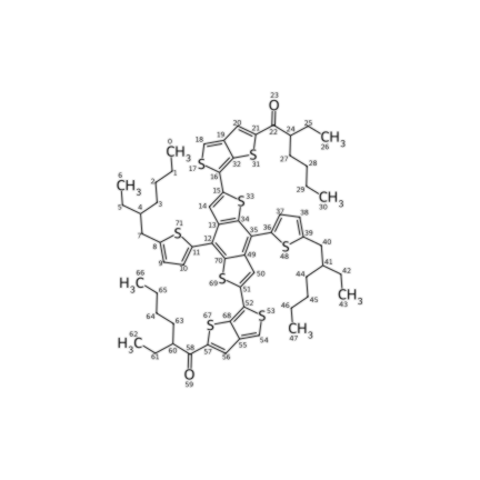 CCCCC(CC)Cc1ccc(-c2c3cc(-c4scc5cc(C(=O)C(CC)CCCC)sc45)sc3c(-c3ccc(CC(CC)CCCC)s3)c3cc(-c4scc5cc(C(=O)C(CC)CCCC)sc45)sc23)s1